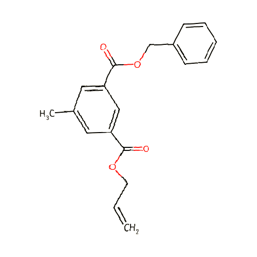 C=CCOC(=O)c1cc(C)cc(C(=O)OCc2ccccc2)c1